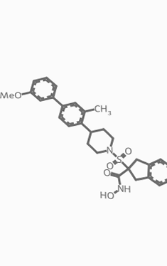 COc1cccc(-c2ccc(C3CCN(S(=O)(=O)C4(C(=O)NO)Cc5ccccc5C4)CC3)c(C)c2)c1